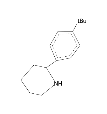 CC(C)(C)c1ccc(C2CCCCN2)cc1